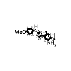 COc1ccc(Nc2nc(-c3cc(N)c(=O)[nH]c3C)cs2)cc1